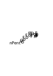 CCCCCC1COC(c2ccc(-c3ccc(-c4cc(F)c(C(F)(F)Oc5cc(F)c(S(F)(F)(F)(F)F)c(F)c5)c(F)c4)c(F)c3)c(F)c2)OC1